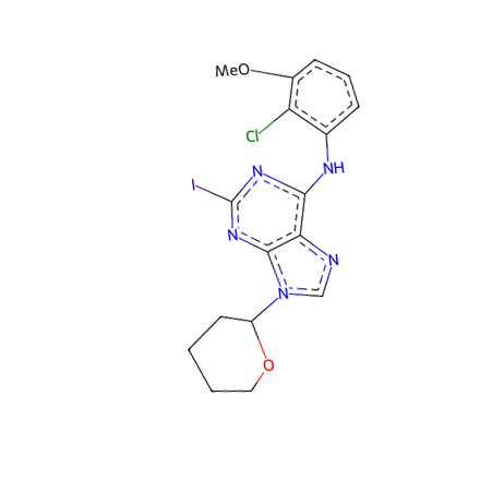 COc1cccc(Nc2nc(I)nc3c2ncn3C2CCCCO2)c1Cl